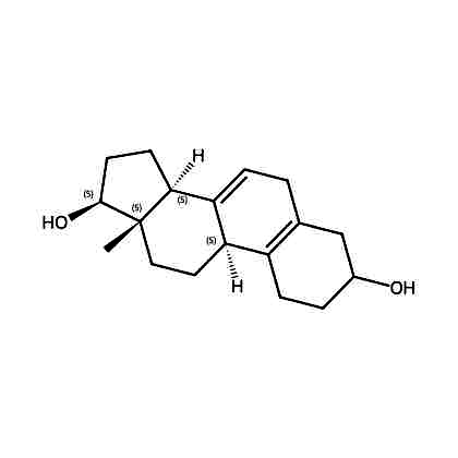 C[C@]12CC[C@H]3C(=CCC4=C3CCC(O)C4)[C@@H]1CC[C@@H]2O